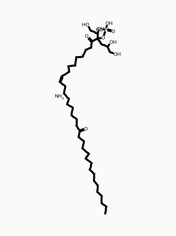 CCCCCCCCCCCCCCCC(=O)CCCCCCCC/C=C\CCCCCCCC(=O)C(CC(O)CO)(OP(=O)(O)O)C(O)CO.N